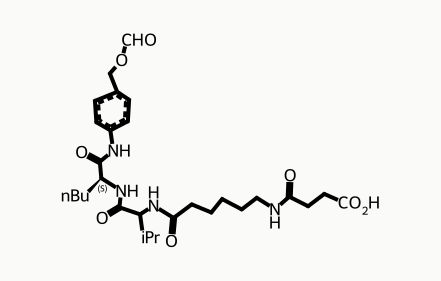 CCCC[C@H](NC(=O)C(NC(=O)CCCCCNC(=O)CCC(=O)O)C(C)C)C(=O)Nc1ccc(COC=O)cc1